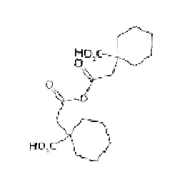 O=C(CC1(C(=O)O)CCCCC1)OC(=O)CC1(C(=O)O)CCCCC1